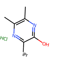 Cc1nc(O)c(C(C)C)nc1C.Cl